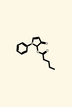 CCCCC(=O)OC1C(=O)C=CN1c1ccccc1